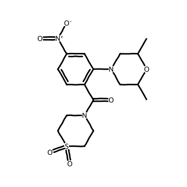 CC1CN(c2cc([N+](=O)[O-])ccc2C(=O)N2CCS(=O)(=O)CC2)CC(C)O1